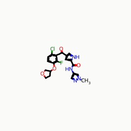 Cn1cc(NC(=O)c2cc(C(=O)c3c(Cl)ccc(OC4CCOC4)c3F)c[nH]2)cn1